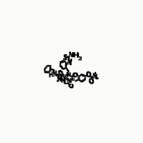 CN(C)C(=O)Oc1ccc(C[C@H]2C(=O)N(Cc3cccc4sc(N)nc34)C[C@H]3N2C(=O)CN3N(C)C(=O)NCc2ccccc2)cc1